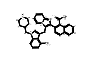 Cc1cccc2c1c(Cc1c(-c3ccc4ccccc4c3C(=O)O)nc3ccccn13)cn2CC1CCNCC1